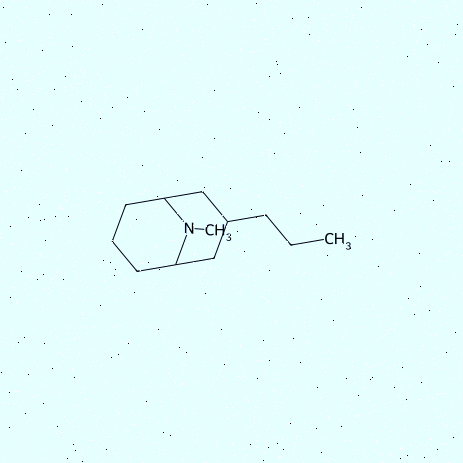 CCCC1CC2CCCC(C1)N2C